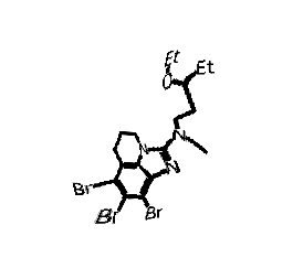 CCOC(CC)CCN(C)c1nc2c(Br)c(Br)c(Br)c3c2n1CCC3